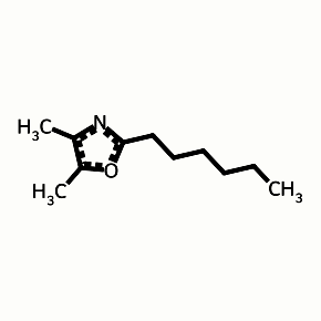 CCCCCCc1nc(C)c(C)o1